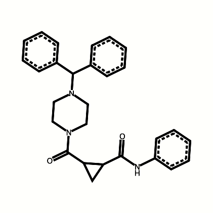 O=C(Nc1ccccc1)C1CC1C(=O)N1CCN(C(c2ccccc2)c2ccccc2)CC1